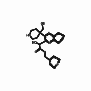 N#CC(C(=O)OCc1ccccc1)c1nc2ccccc2nc1C1(CO)CCNCC1